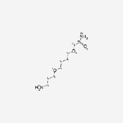 NCCCOCCCCOCC(N)=O